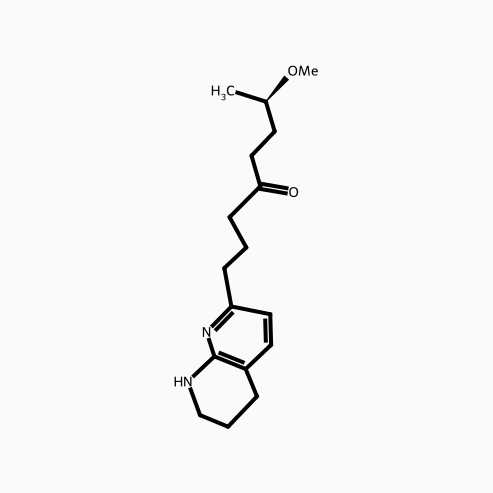 CO[C@H](C)CCC(=O)CCCc1ccc2c(n1)NCCC2